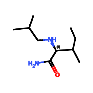 CCC(C)[C@H](NCC(C)C)C(N)=O